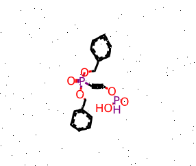 O=[PH](O)OC#CP(=O)(OCc1ccccc1)OCc1ccccc1